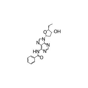 CC[C@@H]1O[C@@H](n2cnc3c(NC(=O)c4ccccc4)ncnc32)C[C@H]1O